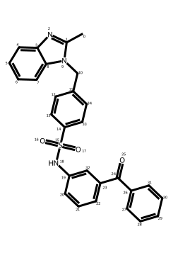 Cc1nc2ccccc2n1Cc1ccc(S(=O)(=O)Nc2cccc(C(=O)c3ccccc3)c2)cc1